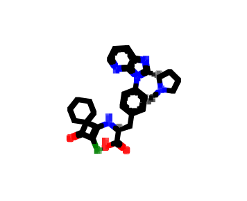 CN1CCC[C@H]1c1nc2cccnc2n1-c1ccc(C[C@H](NC2=C(Br)C(=O)C23CCCCC3)C(=O)O)cc1